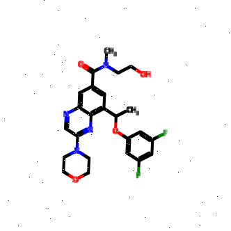 CC(Oc1cc(F)cc(F)c1)c1cc(C(=O)N(C)CCO)cc2ncc(N3CCOCC3)nc12